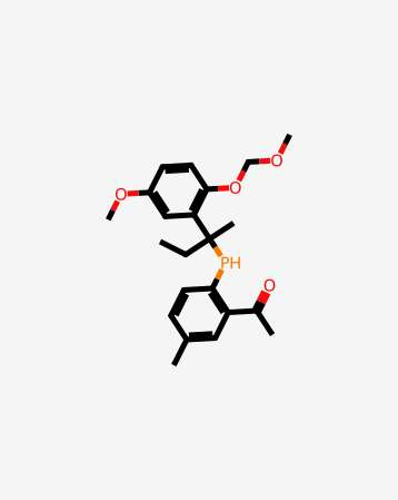 CCC(C)(Pc1ccc(C)cc1C(C)=O)c1cc(OC)ccc1OCOC